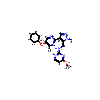 CCCOc1ccnc(NCc2c(-c3ncc(OC4CCCCC4)c(CC)n3)cnn2C)n1